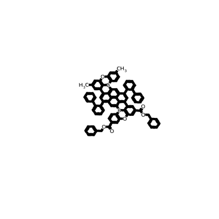 Cc1ccc2c(c1)Oc1cc(C)cc3c1B2c1cc2c(-c4ccccc4-c4ccccc4)cc4c5c(cc6c(-c7ccccc7-c7ccccc7)cc-3c1c6c25)B1c2ccc(C(=O)OCc3ccccc3)cc2Oc2cc(C(=O)OCc3ccccc3)cc-4c21